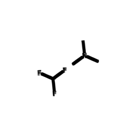 CN(C)C.F[C](F)F